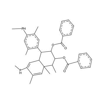 CPC1=CC2C(c3cc(C)c(PC)cc3C)C(OC(=O)c3ccccc3)C(OC(=O)c3ccccc3)C(C)C2(C)C=C1C